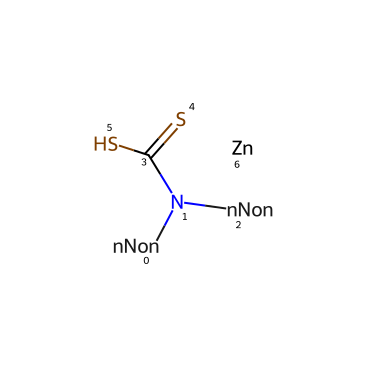 CCCCCCCCCN(CCCCCCCCC)C(=S)S.[Zn]